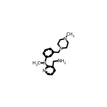 CN1CCN(Cc2cccc(N(C)c3ncccc3CN)c2)CC1